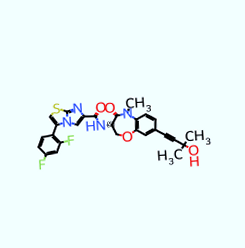 CN1C(=O)[C@@H](NC(=O)c2cn3c(-c4ccc(F)cc4F)csc3n2)COc2cc(C#CC(C)(C)O)ccc21